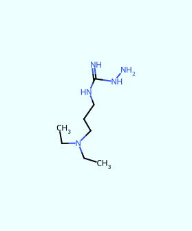 CCN(CC)CCCNC(=N)NN